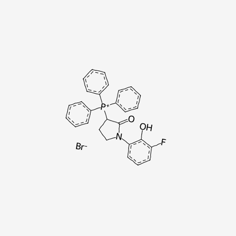 O=C1C([P+](c2ccccc2)(c2ccccc2)c2ccccc2)CCN1c1cccc(F)c1O.[Br-]